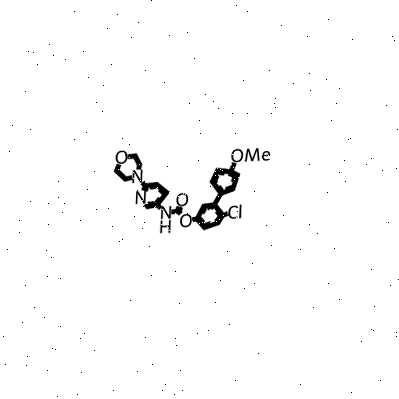 COc1ccc(-c2cc(OC(=O)Nc3ccc(N4CCOCC4)nc3)ccc2Cl)cc1